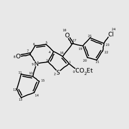 CCOC(=O)c1sc2c(ccc(=O)n2-c2ccccc2)c1C(=O)c1cccc(Cl)c1